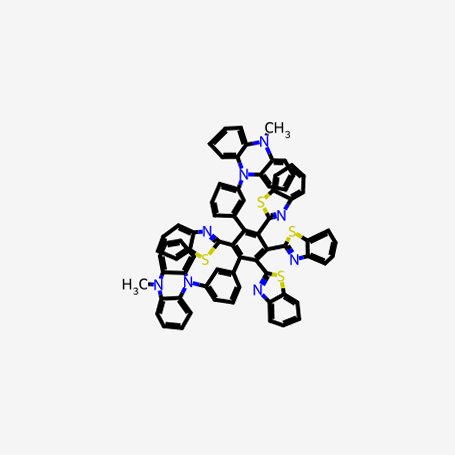 CN1c2ccccc2N(c2cccc(-c3c(-c4nc5ccccc5s4)c(-c4cccc(N5c6ccccc6N(C)c6ccccc65)c4)c(-c4nc5ccccc5s4)c(-c4nc5ccccc5s4)c3-c3nc4ccccc4s3)c2)c2ccccc21